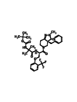 CN1N=C2CCN(C(=O)[C@@H](COc3ccccc3C(F)(F)F)NC(=O)C(C)(C)NC(=O)OC(C)(C)C)C[C@@]2(Cc2ccccc2)C1=O